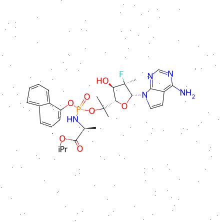 CC(C)OC(=O)[C@H](C)NP(=O)(Oc1cccc2ccccc12)OC(C)(C)[C@H]1O[C@@H](n2ccc3c(N)ncnc32)[C@](C)(F)[C@@H]1O